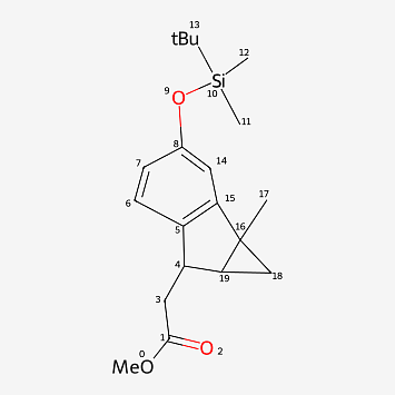 COC(=O)CC1c2ccc(O[Si](C)(C)C(C)(C)C)cc2C2(C)CC12